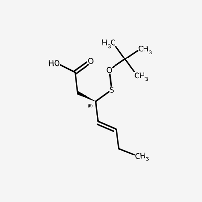 CCC=C[C@@H](CC(=O)O)SOC(C)(C)C